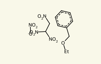 CCOCc1ccccc1.O=[N+]([O-])CC([N+](=O)[O-])[N+](=O)[O-].[O][N+](=O)[O-]